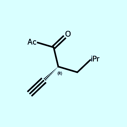 C#C[C@@H](CC(C)C)C(=O)C(C)=O